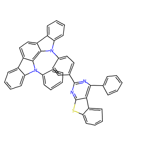 c1ccc(-c2nc(-c3ccc(-n4c5ccccc5c5ccc6c7ccccc7n(-c7ccccc7)c6c54)cc3)nc3sc4ccccc4c23)cc1